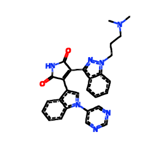 CN(C)CCCn1nc(C2=C(c3cn(-c4cncnc4)c4ccccc34)C(=O)NC2=O)c2ccccc21